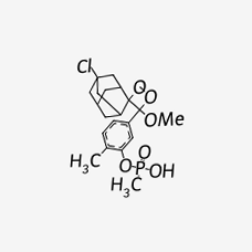 COC1(c2ccc(C)c(OP(C)(=O)O)c2)OOC12C1CC3CC2CC(Cl)(C3)C1